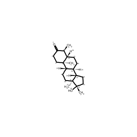 C[C@@H]1C(=O)CC[C@]2(C)[C@H]3CC[C@@]4(C)[C@@H](CC[C@]4(C)O)[C@@H]3CC[C@@H]12